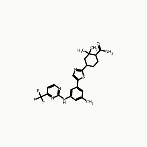 Cc1cc(Nc2nccc(C(F)(F)F)n2)cc(-c2cnc(C3CCC(C(N)=O)C(C)(C)C3)s2)c1